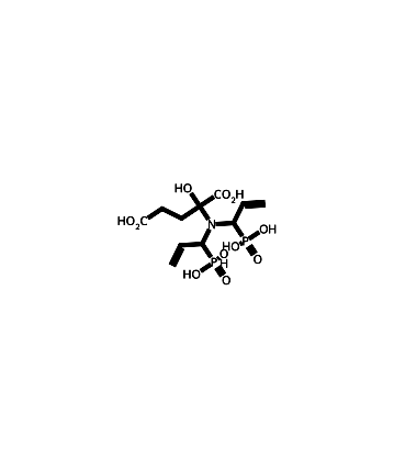 C=CC(N(C(C=C)P(=O)(O)O)C(O)(CCC(=O)O)C(=O)O)P(=O)(O)O